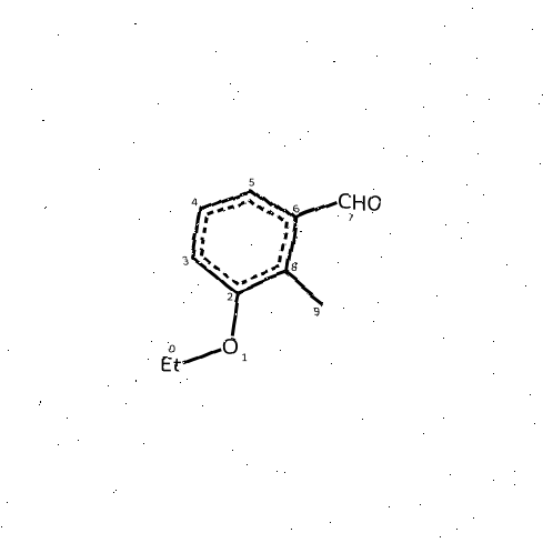 CCOc1cccc(C=O)c1C